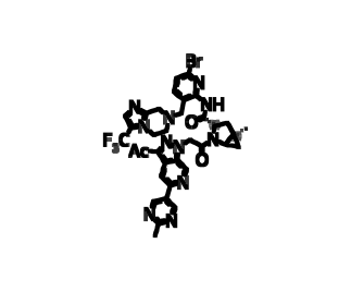 CC(=O)c1nn(CC(=O)N2C3C[C@]3(C)C[C@H]2C(=O)Nc2nc(Br)ccc2CN2CCn3c(C(F)(F)F)cnc3C2)c2cnc(-c3cnc(C)nc3)cc12